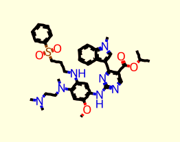 COc1cc(N(C)CCN(C)C)c(NCCCS(=O)(=O)c2ccccc2)cc1Nc1ncc(C(=O)OC(C)C)c(-c2cn(C)c3ccccc23)n1